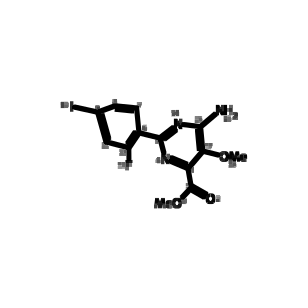 COC(=O)c1nc(-c2ccc(I)cc2F)nc(N)c1OC